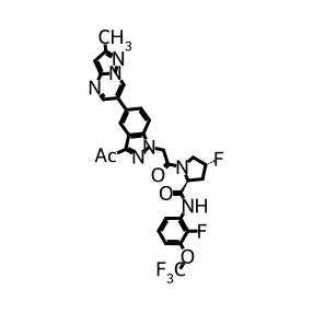 CC(=O)c1nn(CC(=O)N2C[C@H](F)C[C@H]2C(=O)Nc2cccc(OC(F)(F)F)c2F)c2ccc(-c3cnc4cc(C)nn4c3)cc12